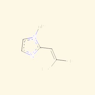 CCCn1ccnc1C=C(C)C